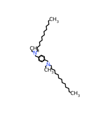 CCCCCCCCCCCCCN(CC)Cc1ccc(CN(CC)CCCCCCCCCCCCC)cc1